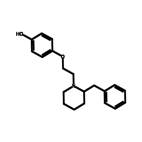 Oc1ccc(OCCN2CCCCC2Cc2ccccc2)cc1